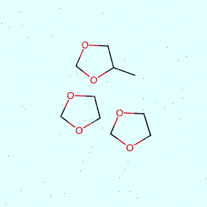 C1COCO1.C1COCO1.CC1COCO1